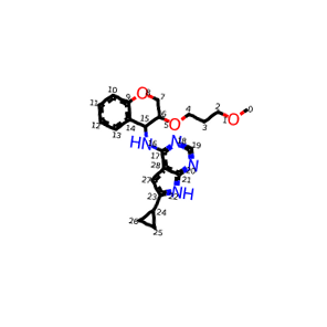 COCCCOC1COc2ccccc2C1Nc1ncnc2[nH]c(C3CC3)cc12